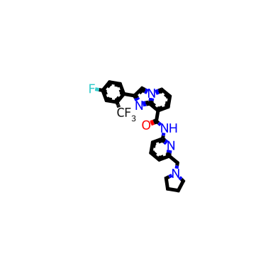 O=C(Nc1cccc(CN2CCCC2)n1)c1cccn2cc(-c3ccc(F)cc3C(F)(F)F)nc12